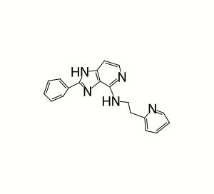 c1ccc(-c2nc3c(NCCc4ccccn4)nccc3[nH]2)cc1